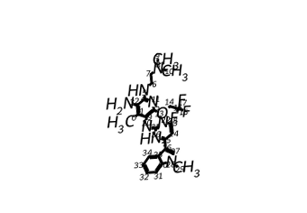 Cc1c(N)c(NCCN(C)C)nc(OCC(F)(F)F)c1Nc1nccc(-c2cn(C)c3ccccc23)n1